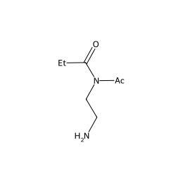 CCC(=O)N(CCN)C(C)=O